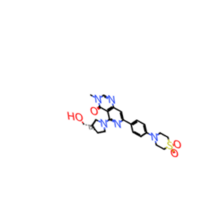 Cn1cnc2cc(-c3ccc(N4CCS(=O)(=O)CC4)cc3)nc(N3CC[C@H](CO)C3)c2c1=O